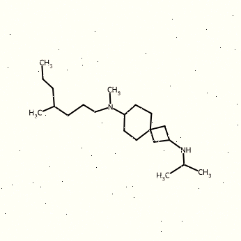 CCCC(C)CCCN(C)C1CCC2(CC1)CC(NC(C)C)C2